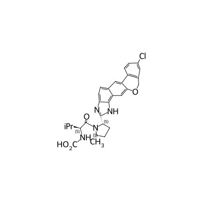 CC(C)[C@H](NC(=O)O)C(=O)N1[C@@H](C)CC[C@H]1c1nc2ccc3cc4c(cc3c2[nH]1)OCc1cc(Cl)ccc1-4